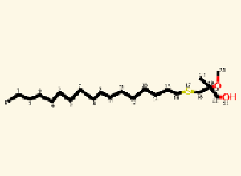 CCCCCCCCCCCCCCCCCSCC(C)(CO)OC